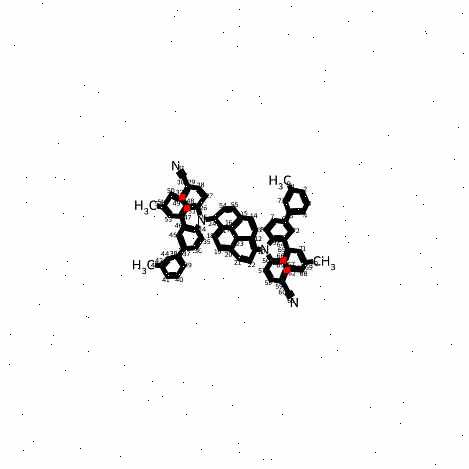 Cc1cccc(-c2ccc(N(C3=C4C=CC5=C6C(=CC=C(C=C3)C46)C(N(c3ccc(C#N)cc3)c3ccc(-c4cccc(C)c4)cc3-c3cccc(C)c3)C=C5)c3ccc(C#N)cc3)c(-c3cccc(C)c3)c2)c1